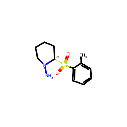 Cc1ccccc1S(=O)(=O)[C@H]1CCCCN1N